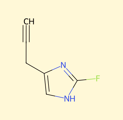 C#CCc1c[nH]c(F)n1